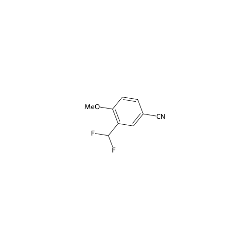 COc1ccc(C#N)cc1C(F)F